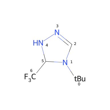 CC(C)(C)N1C=NNC1C(F)(F)F